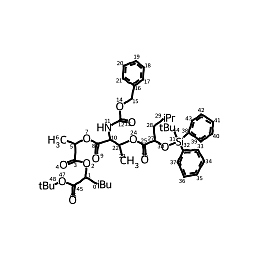 CCC(C)C(OC(=O)C(C)OC(=O)C(NC(=O)OCc1ccccc1)C(C)OC(=O)C(CC(C)C)O[Si](c1ccccc1)(c1ccccc1)C(C)(C)C)C(=O)OC(C)(C)C